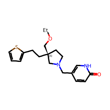 CCOC[C@@]1(CCc2cccs2)CCN(Cc2ccc(=O)[nH]c2)C1